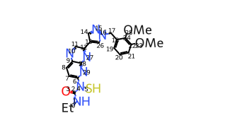 CCNC(=O)N(S)c1ccc2ncc(-c3cnn(Cc4cccc(OC)c4OC)c3)nc2n1